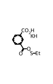 CCSOC(=O)c1cccc(C(=O)O)c1.[KH]